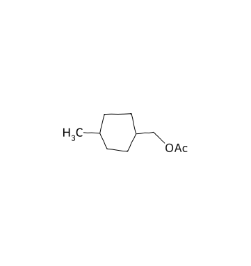 CC(=O)OCC1CCC(C)CC1